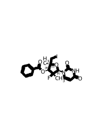 C[C@]1(F)[C@H](n2ccc(=O)[nH]c2=O)O[C@](C)(CI)[C@H]1OC(=O)c1ccccc1